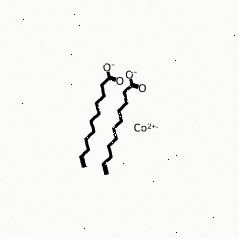 C=CCCCCCCCCC(=O)[O-].C=CCCCCCCCCC(=O)[O-].[Co+2]